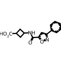 O=C(NC1CC(C(=O)O)C1)c1cc(-c2ccccc2)no1